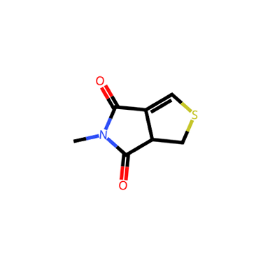 CN1C(=O)C2=CSCC2C1=O